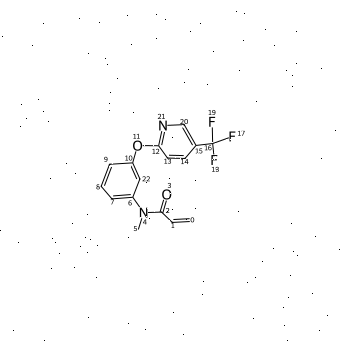 C=CC(=O)N(C)c1cccc(Oc2ccc(C(F)(F)F)cn2)c1